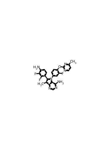 Cc1ccnc(Oc2ccc(-n3c(-c4ccc(N)c(F)c4F)c(C)c4ncnc(N)c43)cc2F)n1